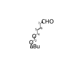 CCCCOCOCC=CCC=O